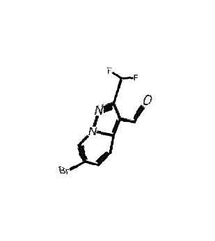 O=Cc1c(C(F)F)nn2cc(Br)ccc12